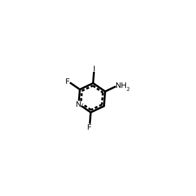 Nc1cc(F)nc(F)c1I